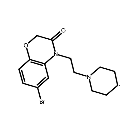 O=C1COc2ccc(Br)cc2N1CCN1CC[CH]CC1